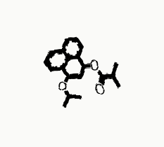 CC(C)OC1=CC(OC(=O)C(C)C)c2cccc3cccc1c23